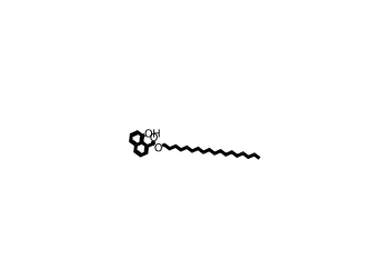 CCCCCCCCCCCCCCCCCCOC(=O)c1cccc2cccc(O)c12